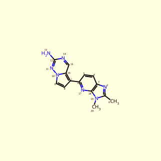 Cc1nc2ccc(-c3ccn4nc(N)ncc34)nc2n1C